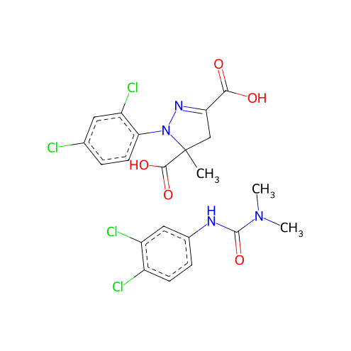 CC1(C(=O)O)CC(C(=O)O)=NN1c1ccc(Cl)cc1Cl.CN(C)C(=O)Nc1ccc(Cl)c(Cl)c1